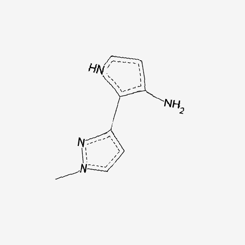 Cn1ccc(-c2[nH]ccc2N)n1